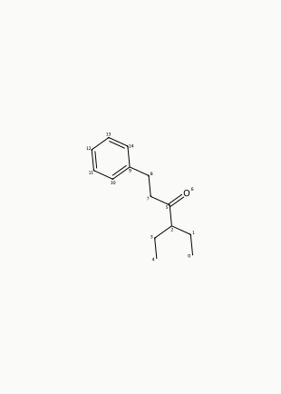 CCC(CC)C(=O)CCc1ccccc1